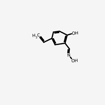 C=Cc1ccc(O)c(C=NO)c1